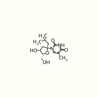 Cc1cn([C@@]2(CC(C)C)C[C@H](O)[C@@H](CO)O2)c(=O)[nH]c1=O